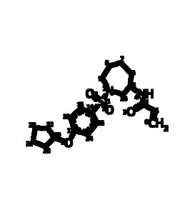 C=CC(=O)NC1CCCCN(S(=O)(=O)c2ccc(OC3CCCC3)cc2)C1